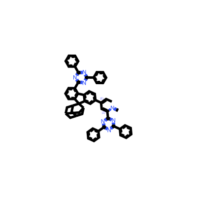 C=N/C(=C\C(=C/C)c1ccc2c(c1)C1(c3cccc(-c4nc(-c5ccccc5)nc(-c5ccccc5)n4)c3-2)C2CC3CC(C2)CC1C3)c1nc(-c2ccccc2)nc(-c2ccccc2)n1